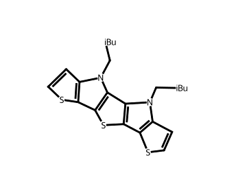 CCC(C)Cn1c2ccsc2c2sc3c4sccc4n(CC(C)CC)c3c21